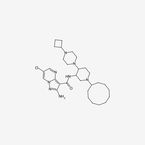 Nc1nn2cc(Cl)cnc2c1C(=O)NC1CN(C2CCCCCCCCC2)CCC1N1CCN(C2CCC2)CC1